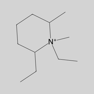 CCC1CCCC(C)[N+]1(C)CC